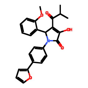 COc1ccccc1C1C(C(=O)C(C)C)=C(O)C(=O)N1c1ccc(-c2ccco2)cc1